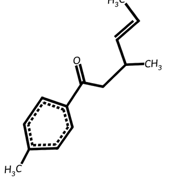 C/C=C/C(C)CC(=O)c1ccc(C)cc1